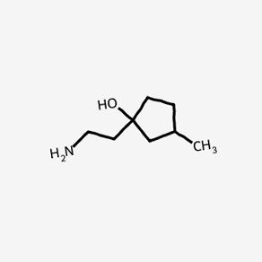 CC1CCC(O)(CCN)C1